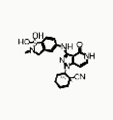 CN1Cc2cc(Nc3nn([C@H]4CCCC[C@@H]4C#N)c4cc[nH]c(=O)c34)ccc2S1(O)O